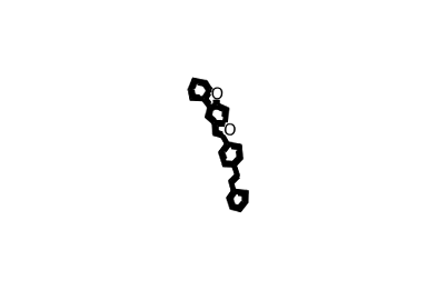 C(=Cc1ccc(-c2cc3cc4c(cc3o2)oc2ccccc24)cc1)c1ccccc1